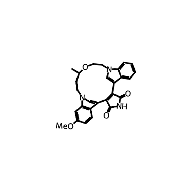 COc1ccc2c3cn(c2c1)CCC(C)OCCn1cc(c2ccccc21)C1=C3C(=O)NC1=O